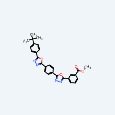 COC(=O)c1cccc(-c2nnc(-c3ccc(-c4nnc(-c5ccc(C(C)(C)C)cc5)o4)cc3)o2)c1